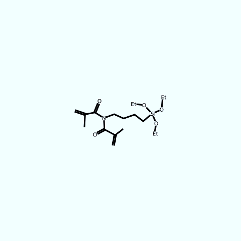 C=C(C)C(=O)N(CCCC[Si](OCC)(OCC)OCC)C(=O)C(=C)C